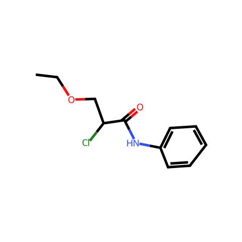 CCOCC(Cl)C(=O)Nc1ccccc1